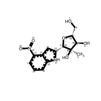 C[C@@]1(O)[C@H](O)[C@@H](CO)O[C@H]1c1cc2c([N+](=O)[O-])cccc2[nH]1